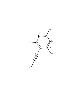 CC#Cc1c(C)nc(C)nc1C